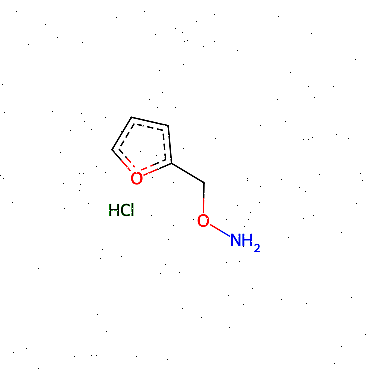 Cl.NOCc1ccco1